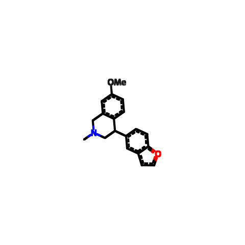 COc1ccc2c(c1)CN(C)CC2c1ccc2occc2c1